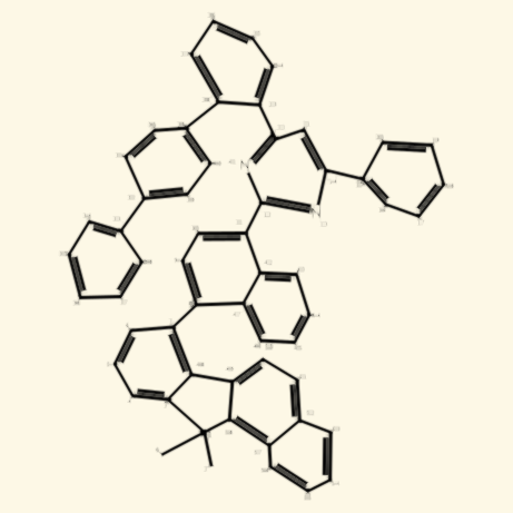 CC1(C)c2cccc(-c3ccc(-c4nc(-c5ccccc5)cc(-c5ccccc5-c5ccc(-c6ccccc6)cc5)n4)c4ccccc34)c2-c2ccc3ccccc3c21